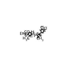 CCC(Oc1ccc(SCc2sc(-c3ccc(Cl)c(Cl)c3)nc2C)cc1C)C(=O)O